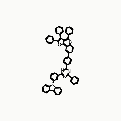 c1ccc(-c2nc(-c3ccc(-c4ccc5nc(-c6ccccc6)c6c(-c7ccccc7)c(-c7ccccc7)oc6c5c4)cc3)nc(-c3cccc(-n4c5ccccc5c5ccccc54)c3)n2)cc1